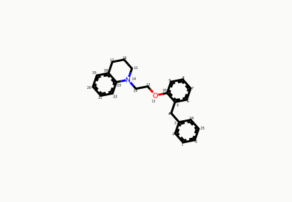 c1ccc(Cc2ccccc2OCCN2CCCc3ccccc32)cc1